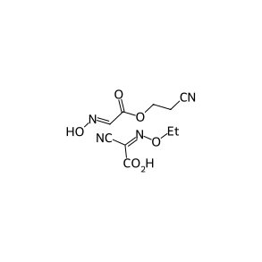 CCON=C(C#N)C(=O)O.N#CCCOC(=O)C=NO